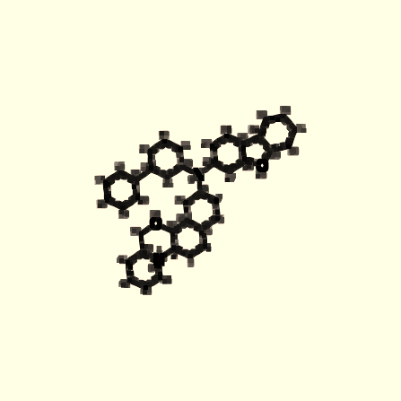 C=Nc1ccc2ccc(N(c3cccc(-c4ccccc4)c3)c3ccc4c(c3)oc3ccccc34)cc2c1OCc1ccccc1